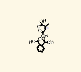 C/C(=C/C(=O)O)C(=O)O.O=C(O)c1ccccc1C(=O)O